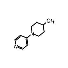 OC1CCN(c2ccncc2)CC1